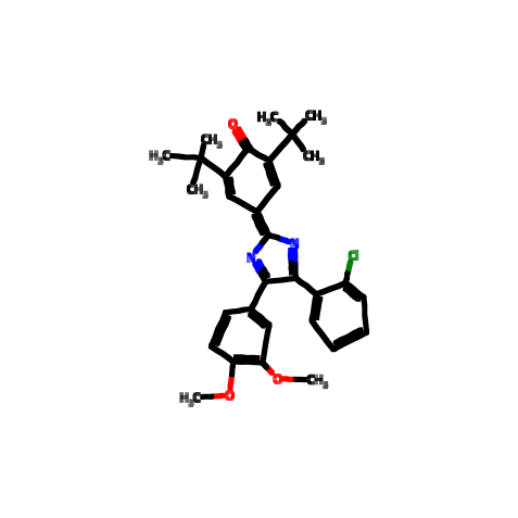 COc1ccc(C2=NC(=C3C=C(C(C)(C)C)C(=O)C(C(C)(C)C)=C3)N=C2c2ccccc2Cl)cc1OC